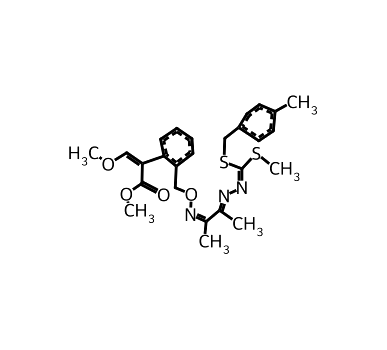 COC=C(C(=O)OC)c1ccccc1CON=C(C)C(C)=NN=C(SC)SCc1ccc(C)cc1